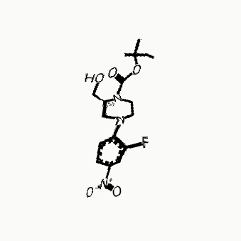 CC(C)(C)OC(=O)N1CCN(c2ccc([N+](=O)[O-])cc2F)C[C@H]1CO